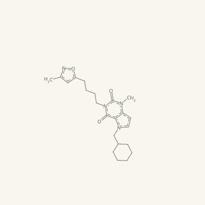 Cc1cc(CCCCn2c(=O)c3c(ccn3CC3CCCCC3)n(C)c2=O)on1